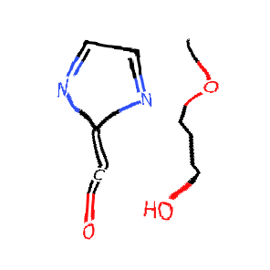 COCCO.O=C=C1N=CC=N1